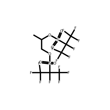 CC(COS(=O)(=O)C(F)(C(F)(F)F)C(F)(F)F)OS(=O)(=O)C(F)(C(F)(F)F)C(F)(F)F